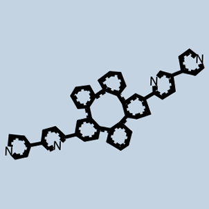 c1ccc2c(c1)c1ccccc1c1cc(-c3ccc(-c4ccncc4)cn3)ccc1c1ccccc1c1ccc(-c3ccc(-c4ccncc4)cn3)cc21